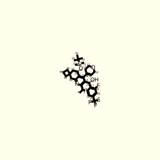 CC(C)c1nc2c(c(C3=CCOCC3)c1[C@H](O)c1ccc(C(F)(F)F)cc1F)[C@@H](O[Si](C)(C)C(C)(C)C)CC1(CCC1)C2